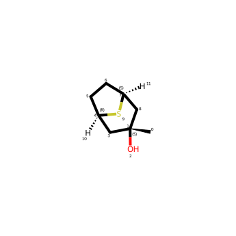 C[C@@]1(O)C[C@H]2CC[C@@H](C1)S2